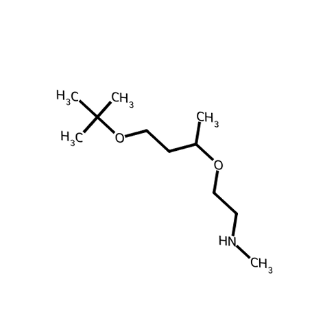 CNCCOC(C)CCOC(C)(C)C